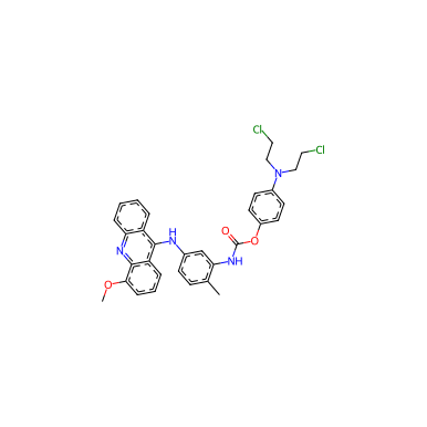 COc1cccc2c(Nc3ccc(C)c(NC(=O)Oc4ccc(N(CCCl)CCCl)cc4)c3)c3ccccc3nc12